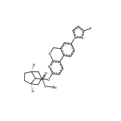 CC(C)(C)OC(=O)N1[C@@H]2CC[C@H]1CC(Oc1ccc3c(n1)OCc1cc(-n4ccc(F)n4)ccc1-3)C2